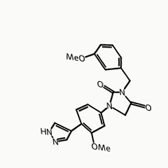 COc1cccc(CN2C(=O)CN(c3ccc(-c4cn[nH]c4)c(OC)c3)C2=O)c1